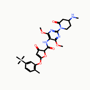 CNC1CCN(c2nc(OC)c(NC(=O)C3OC(Oc4cc([Si](C)(C)C)ccc4C)=CC3=O)c(OC)n2)C(=O)C1